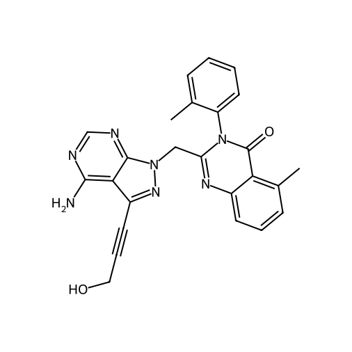 Cc1ccccc1-n1c(Cn2nc(C#CCO)c3c(N)ncnc32)nc2cccc(C)c2c1=O